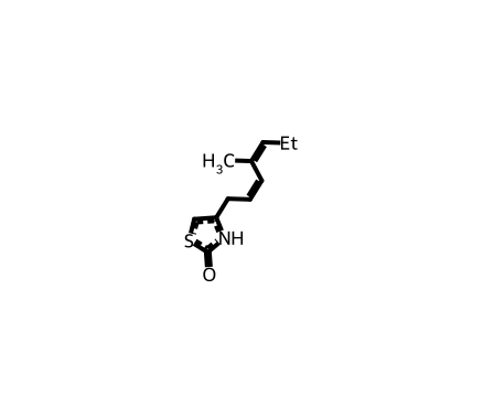 CC/C=C(C)\C=C/Cc1csc(=O)[nH]1